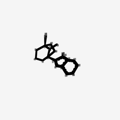 CN1[C@@H]2CCC[C@@]1(c1cc3ccccc3[nH]1)CC2